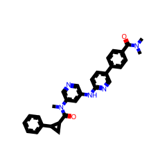 CN(C)C(=O)c1ccc(-c2ccc(Nc3cncc(N(C)C(=O)C4CC4c4ccccc4)c3)nc2)cc1